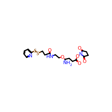 NC(CCC(=O)ON1C(=O)CCC1=O)OCCNC(=O)CCSSc1ccccn1